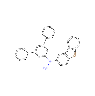 NN(c1cc(-c2ccccc2)cc(-c2ccccc2)c1)c1ccc2sc3ccccc3c2c1